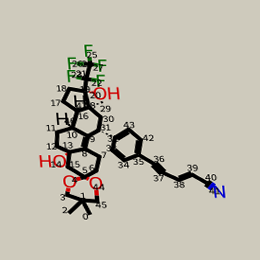 CC1(C)COC2(CCC3=C4[C@@H](CC[C@@]3(O)C2)[C@@H]2CC[C@@](O)(C(F)(F)C(F)(F)F)[C@@]2(C)C[C@@H]4c2ccc(C#C/C=C/C#N)cc2)OC1